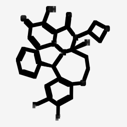 O=C1c2c(O)c(=O)ccn2N2[C@H](c3ccccc3)c3cc(F)c(F)cc3OCC[C@H]2N1C1COC1